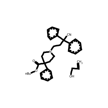 C=CCO.CCCCOC(=O)C1(c2ccccc2)CCN(CCC(C#N)(c2ccccc2)c2ccccc2)CC1